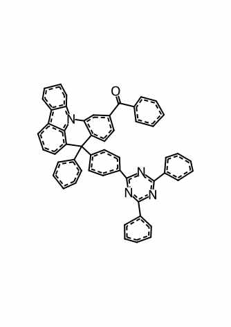 O=C(c1ccccc1)c1ccc2c(c1)-n1c3ccccc3c3cccc(c31)C2(c1ccccc1)c1ccc(-c2nc(-c3ccccc3)nc(-c3ccccc3)n2)cc1